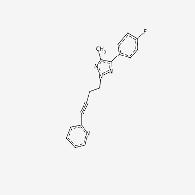 Cc1nn(CCC#Cc2ccccn2)nc1-c1ccc(F)cc1